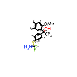 COc1cc(C)c(C)cc1C(O)(c1ccc(SC(N)(F)F)cc1)C(F)(F)F